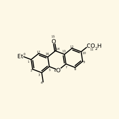 CCc1cc(C)c2oc3ccc(C(=O)O)cc3c(=O)c2c1